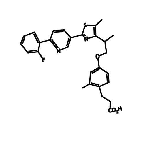 Cc1cc(OCC(C)c2nc(-c3ccc(-c4ccccc4F)nc3)sc2C)ccc1CCC(=O)O